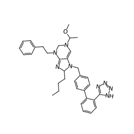 CCCCC1N=C2C(=CN(C(C)OC)CN2CCc2ccccc2)N1Cc1ccc(-c2ccccc2-c2nnn[nH]2)cc1